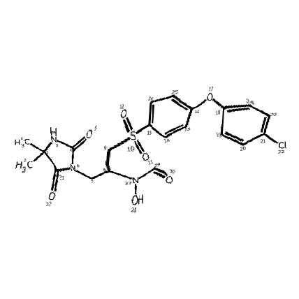 CC1(C)NC(=O)N(CC(CS(=O)(=O)c2ccc(Oc3ccc(Cl)cc3)cc2)N(O)C=O)C1=O